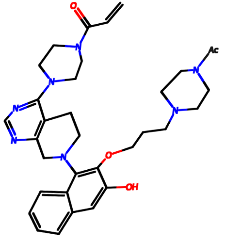 C=CC(=O)N1CCN(c2ncnc3c2CCN(c2c(OCCCN4CCN(C(C)=O)CC4)c(O)cc4ccccc24)C3)CC1